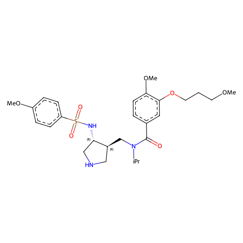 COCCCOc1cc(C(=O)N(C[C@H]2CNC[C@@H]2NS(=O)(=O)c2ccc(OC)cc2)C(C)C)ccc1OC